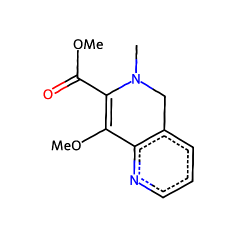 COC(=O)C1=C(OC)c2ncccc2CN1C